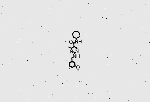 COc1cccc(CNc2ncc(C(=O)NC3CCCCCC3)c(C)n2)c1